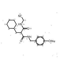 COc1ccc(CNC(=O)C(CC2CCCCC2)C(=O)NCC#N)cc1